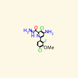 COc1c(Cl)ccc(-c2cc(N)c(Cl)c(C(=O)NN)n2)c1F